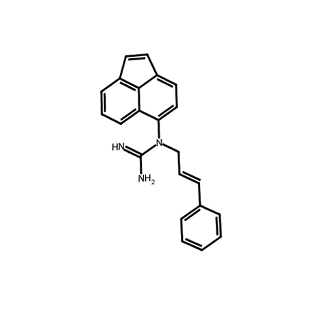 N=C(N)N(CC=Cc1ccccc1)c1ccc2c3c(cccc13)C=C2